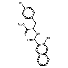 COC(=O)C(Cc1ccc(O)cc1)NC(=O)c1cc2ccccc2cc1O